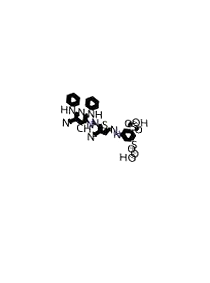 Cc1c(C#N)c(Nc2ccccc2)nc(Nc2ccccc2)c1/N=N/c1sc(/N=N/c2cc(SOOO)cc(S(=O)(=O)O)c2)cc1C#N